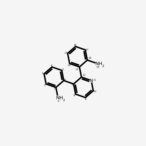 Nc1ccccc1-c1cccnc1-c1ccccc1N